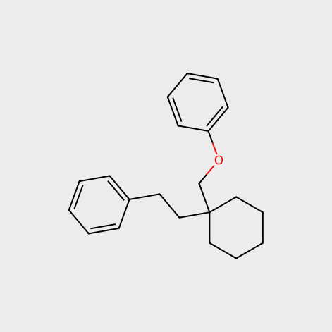 c1ccc(CCC2(COc3ccccc3)CCCCC2)cc1